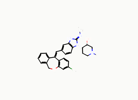 CN1CC[C@H](n2c(=NC#N)[nH]c3cc(C=C4c5ccccc5COc5cc(F)ccc54)ccc32)[C@@H](O)C1